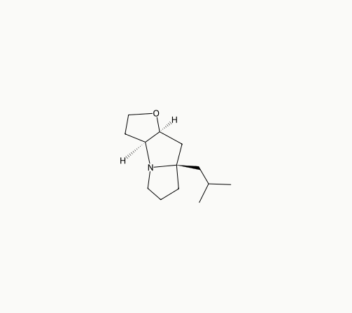 CC(C)C[C@@]12CCCN1[C@H]1CCO[C@H]1C2